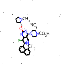 Cc1cccc2cccc(-c3ncc4c(N5CCN(C(=O)O)[C@@H](CC#N)C5)nc(OC[C@@H]5CCCN5C)nc4c3F)c12